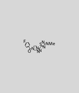 CNc1nsc(-c2nnc3n2CCN(C(=O)c2ccc(F)cc2)C3)n1